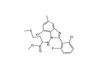 COC(=O)C(CCSC)Nn1c(-c2c(F)cccc2Cl)nc2cc(C)cc(Cl)c21